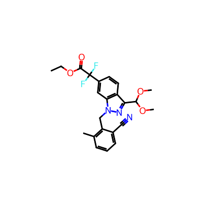 CCOC(=O)C(F)(F)c1ccc2c(C(OC)OC)nn(Cc3c(C)cccc3C#N)c2c1